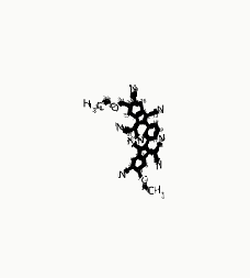 CCOCc1cc2c(cc1C#N)C(C#N)=C(c1cccc(C3=C(C#N)c4cc(C#N)c(COCC)cc4C3=C(C#N)C#N)c1)C2=C(C#N)C#N